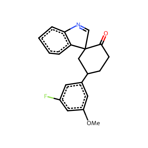 COc1cc(F)cc(C2CCC(=O)C3(C=Nc4ccccc43)C2)c1